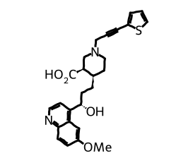 COc1ccc2nccc([C@@H](O)CC[C@@H]3CCN(CC#Cc4cccs4)C[C@@H]3C(=O)O)c2c1